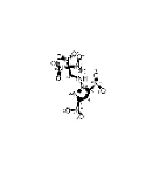 O=[N+]([O-])c1cc([N+](=O)[O-])n(NCC([N+](=O)[O-])([N+](=O)[O-])[N+](=O)[O-])n1